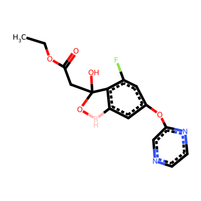 CCOC(=O)CC1(O)OBc2cc(Oc3cnccn3)cc(F)c21